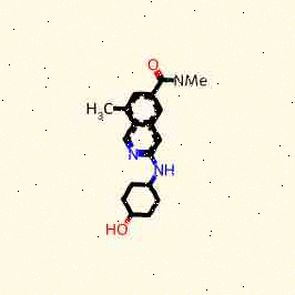 CNC(=O)c1cc(C)c2cnc(NC3CCC(O)CC3)cc2c1